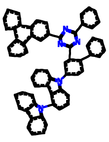 c1ccc(-c2nc(-c3ccc4c5ccccc5c5ccccc5c4c3)nc(-c3cc(-n4c5ccccc5c5c(-n6c7ccccc7c7ccccc76)cccc54)ccc3-c3ccccc3)n2)cc1